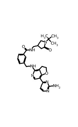 CC(C)(C)N1CC(CNC(=O)c2cccc(CNc3ncc(-c4ccnc(N)n4)c4c3CCO4)c2)CC1=O